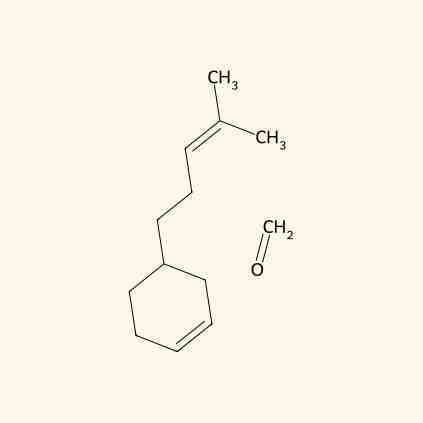 C=O.CC(C)=CCCC1CC=CCC1